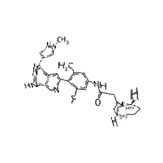 Cc1cc(NC(=O)CN2C[C@H]3CC[C@@H]2C3)cc(F)c1-c1cc2c(-c3cnn(C)c3)n[nH]c2cn1